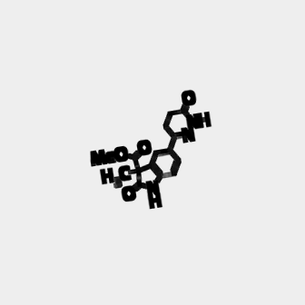 COC(=O)C1(C)C(=O)Nc2ccc(C3=NNC(=O)CC3)cc21